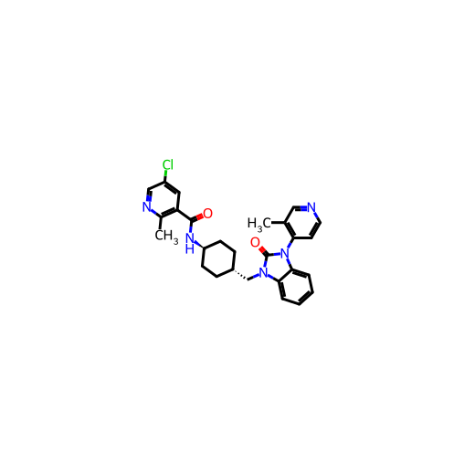 Cc1cnccc1-n1c(=O)n(C[C@H]2CC[C@H](NC(=O)c3cc(Cl)cnc3C)CC2)c2ccccc21